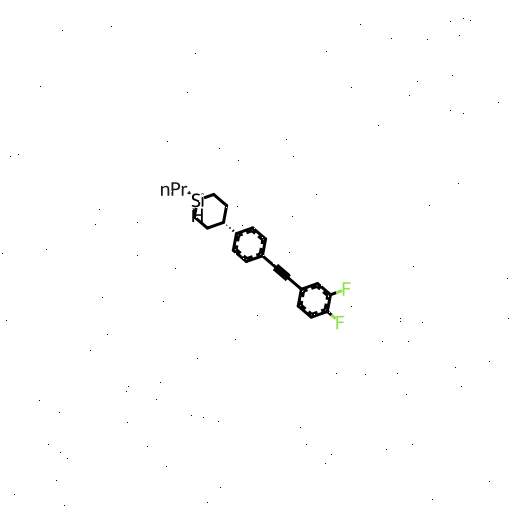 CCC[Si@H]1CC[C@H](c2ccc(C#Cc3ccc(F)c(F)c3)cc2)CC1